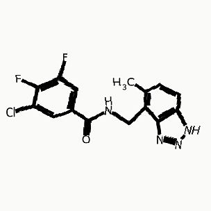 Cc1ccc2[nH]nnc2c1CNC(=O)c1cc(F)c(F)c(Cl)c1